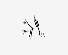 CC#N.O=CO.[NaH]